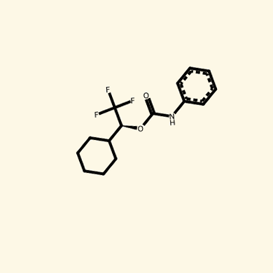 O=C(Nc1ccccc1)O[C@@H](C1CCCCC1)C(F)(F)F